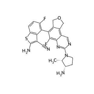 C[C@H]1[C@@H](N)CCN1c1ncc2c3c(c(-c4c(F)ccc5sc(N)c(C#N)c45)c(F)c2n1)COC3